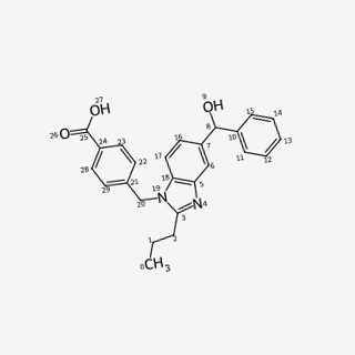 CCCc1nc2cc(C(O)c3ccccc3)ccc2n1Cc1ccc(C(=O)O)cc1